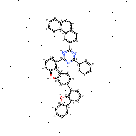 C1=CCC(c2nc(-c3ccc4ccc5ccccc5c4c3)nc(-c3cccc4oc5cc(-c6cccc7c6oc6ccccc67)ccc5c34)n2)C=C1